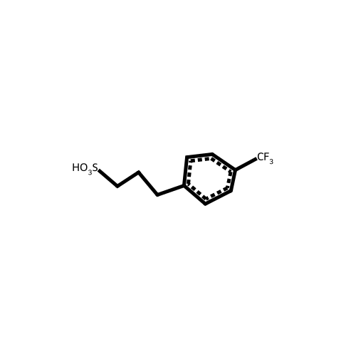 O=S(=O)(O)CCCc1ccc(C(F)(F)F)cc1